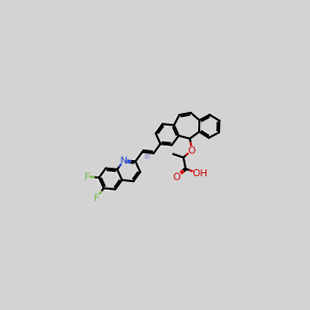 CC(OC1c2ccccc2C=Cc2ccc(/C=C/c3ccc4cc(F)c(F)cc4n3)cc21)C(=O)O